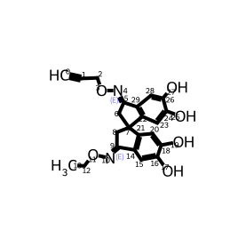 C#CCO/N=C1\CC2(C/C(=N\OCC)c3cc(O)c(O)cc32)c2cc(O)c(O)cc21